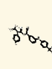 CC(C)C(C(=O)OC(C#N)c1cccc(Nc2ccc(C(F)(F)F)cc2)c1)c1ccc(Cl)cc1